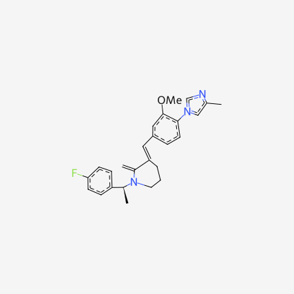 C=C1/C(=C/c2ccc(-n3cnc(C)c3)c(OC)c2)CCCN1[C@@H](C)c1ccc(F)cc1